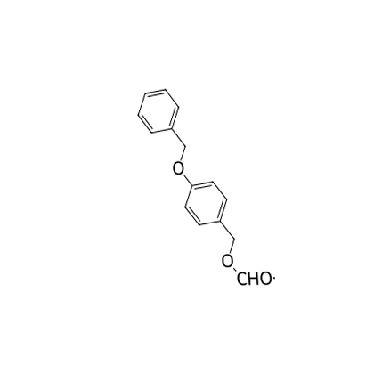 O=[C]OCc1ccc(OCc2ccccc2)cc1